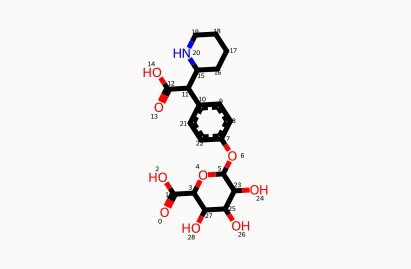 O=C(O)C1OC(Oc2ccc(C(C(=O)O)C3CCCCN3)cc2)C(O)C(O)C1O